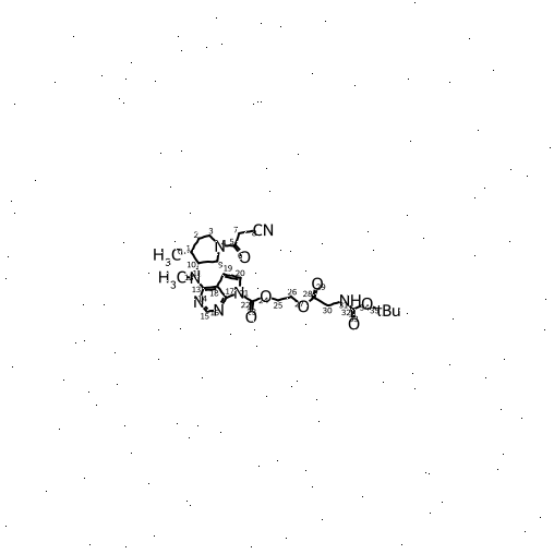 C[C@@H]1CCN(C(=O)CC#N)C[C@@H]1N(C)c1ncnc2c1ccn2C(=O)OCCOC(=O)CNC(=O)OC(C)(C)C